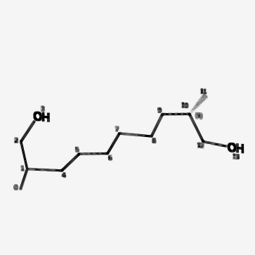 CC(CO)CCCCCC[C@H](C)CO